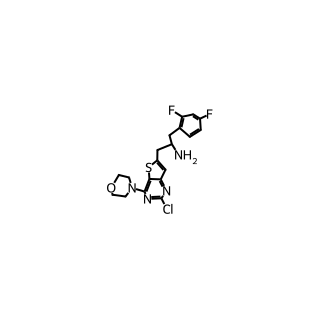 NC(Cc1cc2nc(Cl)nc(N3CCOCC3)c2s1)Cc1ccc(F)cc1F